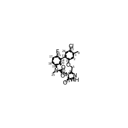 Cc1cc(OCc2n[nH]c(=O)n2C)c(-c2c(F)ccc3c2oc(=O)n3C)cc1Cl